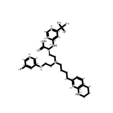 O=C(O)[C@H](CCN(CCCCc1ccc2c(n1)NCCC2)CCOc1cncc(F)c1)Nc1cc(C(F)(F)F)ncn1